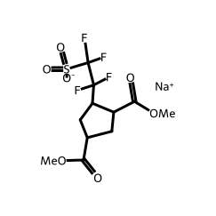 COC(=O)C1CC(C(=O)OC)C(C(F)(F)C(F)(F)S(=O)(=O)[O-])C1.[Na+]